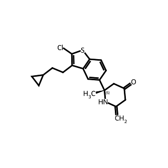 C=C1CC(=O)C[C@@](C)(c2ccc3sc(Cl)c(CCC4CC4)c3c2)N1